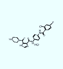 Cl.O=C(Nc1ccc(NC(=O)c2nc[nH]c2C(=O)N2CCNCC2)cc1)c1ccc(F)cc1Cl